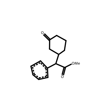 COC(=O)C(c1ccccc1)C1CCCC(=O)C1